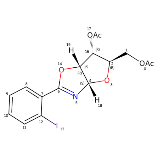 CC(=O)OC[C@H]1O[C@@H]2N=C(c3ccccc3I)O[C@@H]2[C@@H]1OC(C)=O